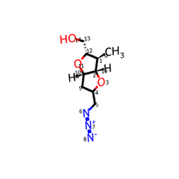 C[C@H]1[C@@H]2OC(CN=[N+]=[N-])C[C@@H]2O[C@@H]1CO